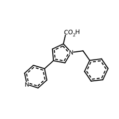 O=C(O)c1cc(-c2ccncc2)cn1Cc1ccccc1